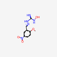 COc1ccc([N+](=O)[O-])cc1/C=N/NC(=N)NO